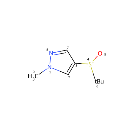 Cn1cc([S+]([O-])C(C)(C)C)cn1